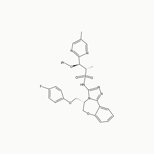 Cc1cnc([C@H](OC(C)C)[C@H](C)S(=O)(=O)Nc2nnc3n2[C@@H](COc2ccc(F)cc2)COc2ccccc2-3)nc1